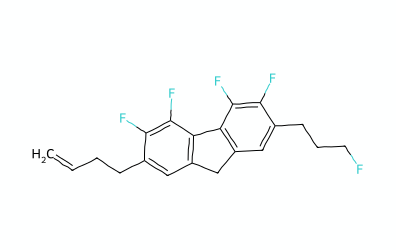 C=CCCc1cc2c(c(F)c1F)-c1c(cc(CCCF)c(F)c1F)C2